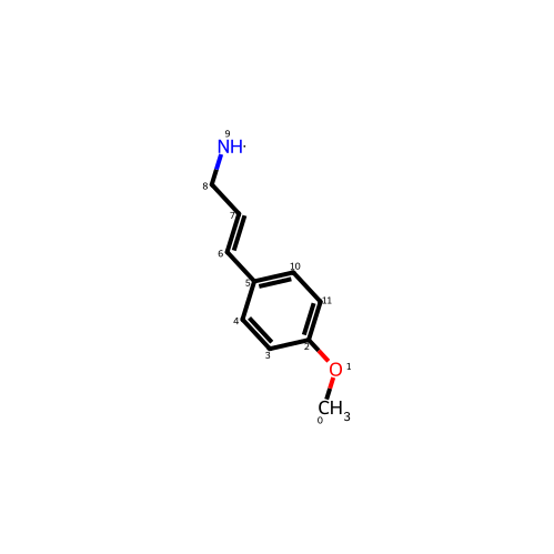 COc1ccc(C=CC[NH])cc1